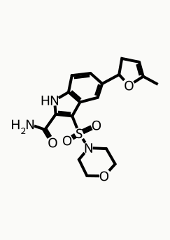 CC1=CCC(c2ccc3[nH]c(C(N)=O)c(S(=O)(=O)N4CCOCC4)c3c2)O1